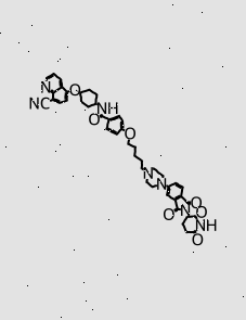 N#Cc1ccc(O[C@H]2CC[C@H](NC(=O)c3ccc(OCCCCCN4CCN(c5ccc6c(c5)C(=O)N(C5CCC(=O)NC5=O)C6=O)CC4)cc3)CC2)c2cccnc12